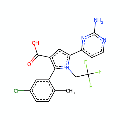 Cc1ccc(Cl)cc1-c1c(C(=O)O)cc(-c2ccnc(N)n2)n1CC(F)(F)F